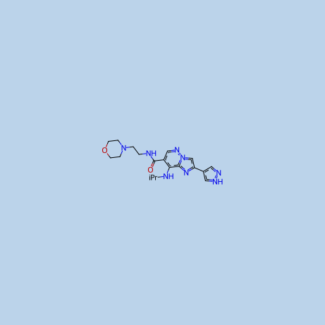 CC(C)Nc1c(C(=O)NCCN2CCOCC2)cnn2cc(-c3cn[nH]c3)nc12